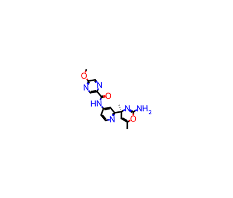 COc1cnc(C(=O)Nc2ccnc([C@]3(C)C=C(C)OC(N)=N3)c2)cn1